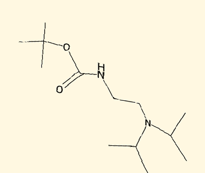 CC(C)N(CCNC(=O)OC(C)(C)C)C(C)C